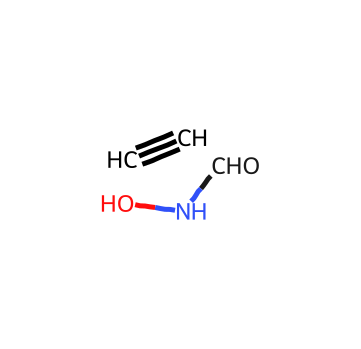 C#C.O=CNO